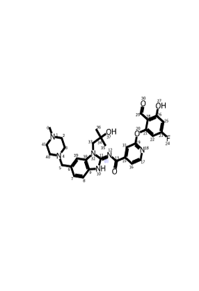 CN1CCN(Cc2ccc3[nH]/c(=N\C(=O)c4ccnc(Oc5cc(F)cc(O)c5C=O)c4)n(CC(C)(C)O)c3c2)CC1